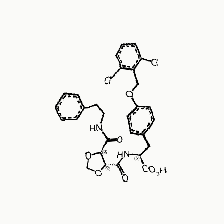 O=C(O)[C@H](Cc1ccc(OCc2c(Cl)cccc2Cl)cc1)NC(=O)[C@@H]1OCO[C@H]1C(=O)NCCc1ccccc1